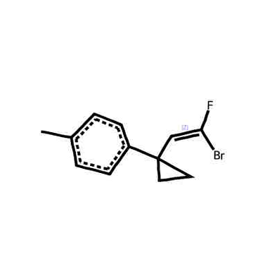 Cc1ccc(C2(/C=C(/F)Br)CC2)cc1